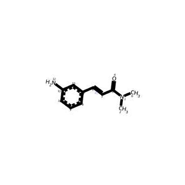 CN(C)C(=O)/C=C/c1cccc(N)c1